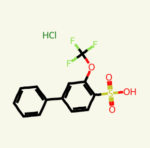 Cl.O=S(=O)(O)c1ccc(-c2ccccc2)cc1OC(F)(F)F